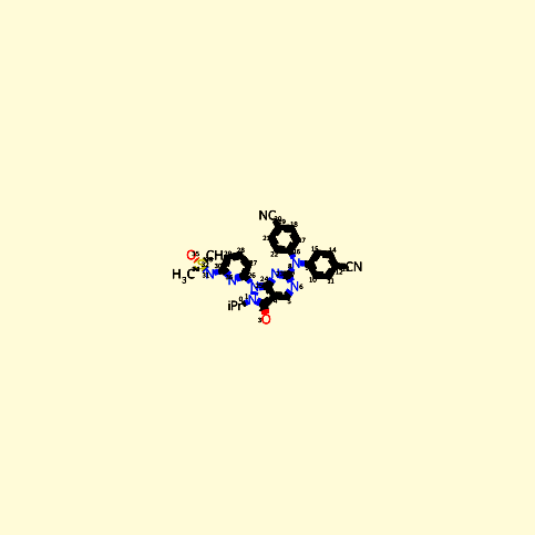 CC(C)n1c(=O)c2cnc(N(c3ccc(C#N)cc3)c3ccc(C#N)cc3)nc2n1-c1cccc(N=S(C)(C)=O)n1